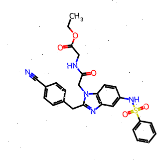 CCOC(=O)CNC(=O)Cn1c(Cc2ccc(C#N)cc2)nc2cc(NS(=O)(=O)c3ccccc3)ccc21